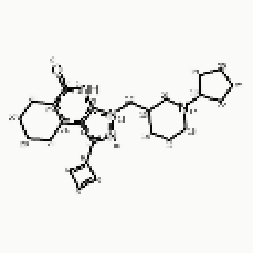 O=c1[nH]c2c(c(C3=CC=C3)nn2CC2CCCN(C3CCCC3)C2)c2c1CCCC2